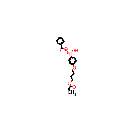 C=CC(=O)OCCCCOc1ccc(B(O)OOC(=O)c2ccccc2)cc1